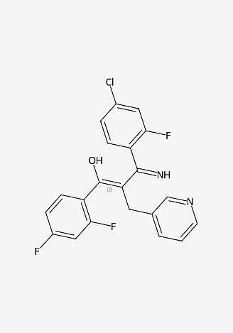 N=C(/C(Cc1cccnc1)=C(\O)c1ccc(F)cc1F)c1ccc(Cl)cc1F